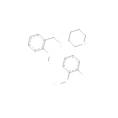 COc1ccc([C@H]2NCCC[C@H]2NCc2ccccc2OC)cc1C